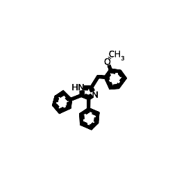 COc1ccccc1Cc1nc(-c2ccccc2)c(-c2ccccc2)[nH]1